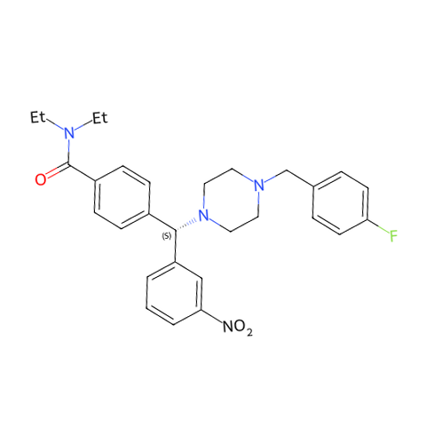 CCN(CC)C(=O)c1ccc([C@@H](c2cccc([N+](=O)[O-])c2)N2CCN(Cc3ccc(F)cc3)CC2)cc1